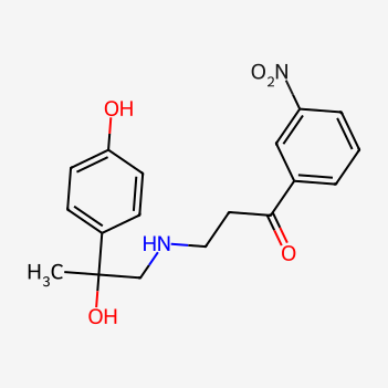 CC(O)(CNCCC(=O)c1cccc([N+](=O)[O-])c1)c1ccc(O)cc1